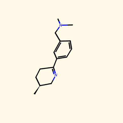 C[C@H]1CCC(c2cccc(CN(C)C)c2)=NC1